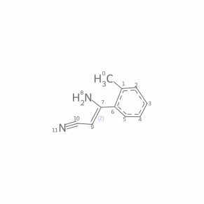 Cc1ccccc1/C(N)=C/C#N